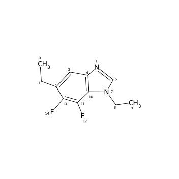 CCc1cc2ncn(CC)c2c(F)c1F